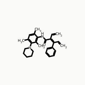 C=C/C(C(=O)Nc1c(C)cc(C)c(N2CCCCC2)c1C)=C(\C=C)c1ccccc1